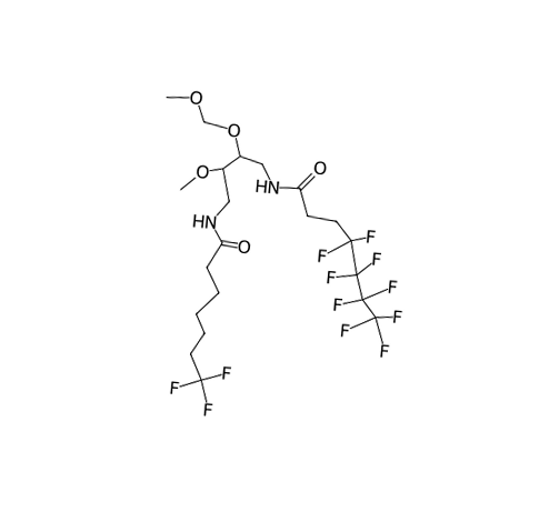 COCOC(CNC(=O)CCC(F)(F)C(F)(F)C(F)(F)C(F)(F)F)C(CNC(=O)CCCCCC(F)(F)F)OC